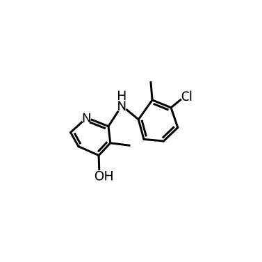 Cc1c(Cl)cccc1Nc1nccc(O)c1C